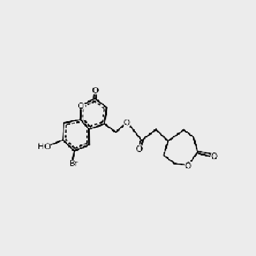 O=C1CCC(CC(=O)OCc2cc(=O)oc3cc(O)c(Br)cc23)CCO1